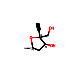 C#C[C@]1(CO)O[C@@H](C)C[C@@H]1O